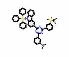 CB(C)c1cccc(-c2nc(-c3cccc(S(C)(C)B(C)C)c3)nc(-c3ccc4c(c3)c3ccccc3n4S(c3ccccc3)(c3ccccc3)c3ccccc3)n2)c1